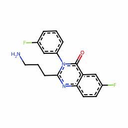 NCCCc1nc2ccc(F)cc2c(=O)n1-c1cccc(F)c1